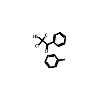 Cc1ccccc1.O=C(c1ccccc1)C(S)(Cl)Cl